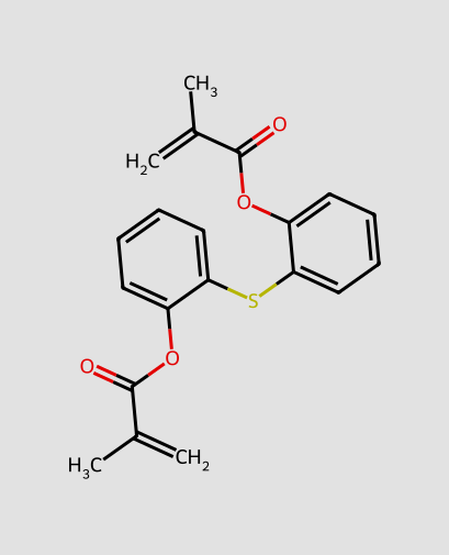 C=C(C)C(=O)Oc1ccccc1Sc1ccccc1OC(=O)C(=C)C